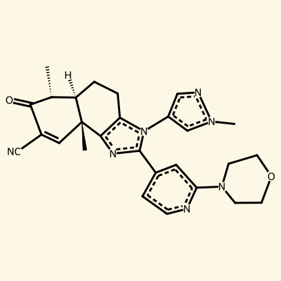 C[C@H]1C(=O)C(C#N)=C[C@@]2(C)c3nc(-c4ccnc(N5CCOCC5)c4)n(-c4cnn(C)c4)c3CC[C@H]12